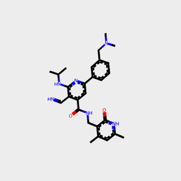 Cc1cc(C)c(CNC(=O)c2cc(-c3cccc(CN(C)C)c3)nc(NC(C)C)c2C=N)c(=O)[nH]1